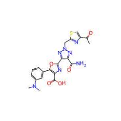 CC(=O)c1csc(Cn2nc(C(N)=O)c(-c3nc(C(=O)O)c(-c4cccc(N(C)C)c4)o3)n2)n1